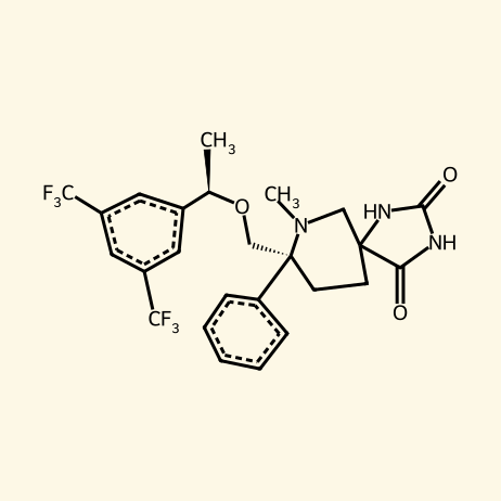 C[C@@H](OC[C@@]1(c2ccccc2)CCC2(CN1C)NC(=O)NC2=O)c1cc(C(F)(F)F)cc(C(F)(F)F)c1